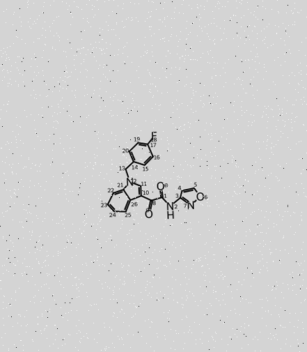 O=C(Nc1ccon1)C(=O)c1cn(Cc2ccc(F)cc2)c2ccccc12